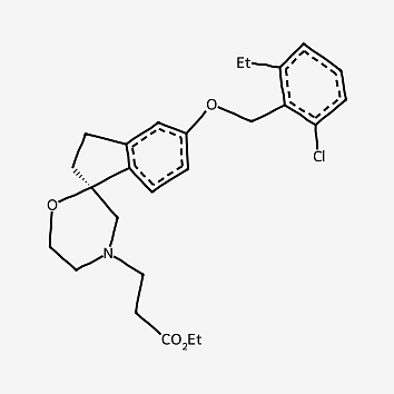 CCOC(=O)CCN1CCO[C@]2(CCc3cc(OCc4c(Cl)cccc4CC)ccc32)C1